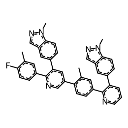 Cc1cc(-c2ncc(-c3ccc(-c4ncccc4-c4ccc5c(cnn5C)c4)cc3C)cc2-c2ccc3c(cnn3C)c2)ccc1F